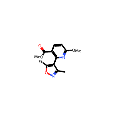 CCc1onc(C)c1-c1nc(OC)ccc1C(=O)OC